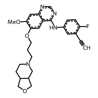 C#Cc1cc(Nc2ncnc3cc(OC)c(OCCCN4CCC5COCC5C4)cc23)ccc1F